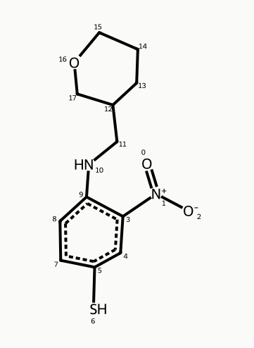 O=[N+]([O-])c1cc(S)ccc1NCC1CCCOC1